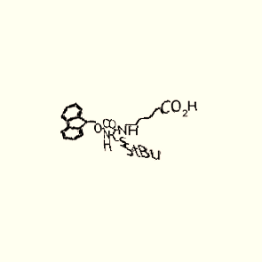 CC(C)(C)SSCC(NC(=O)OCC1c2ccccc2-c2ccccc21)C(=O)NCCCCCC(=O)O